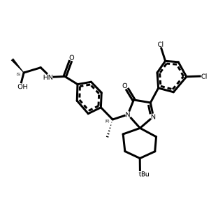 C[C@H](O)CNC(=O)c1ccc([C@@H](C)N2C(=O)C(c3cc(Cl)cc(Cl)c3)=NC23CCC(C(C)(C)C)CC3)cc1